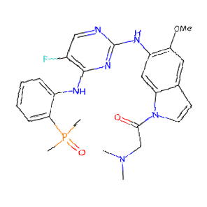 COc1cc2ccn(C(=O)CN(C)C)c2cc1Nc1ncc(F)c(Nc2ccccc2P(C)(C)=O)n1